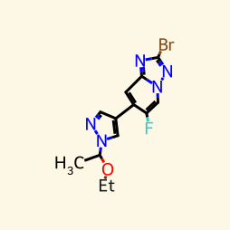 CCOC(C)n1cc(-c2cc3nc(Br)nn3cc2F)cn1